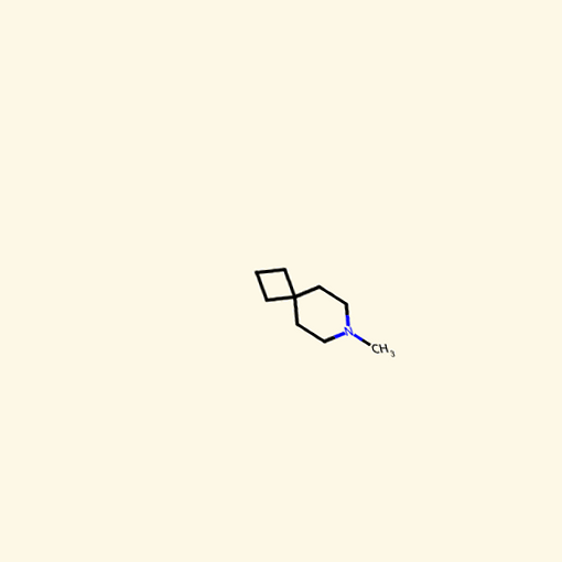 CN1CCC2(CCC2)CC1